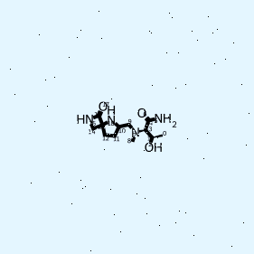 C[C@@H](O)[C@H](C(N)=O)N(C)CC1CCC2(CNC2=O)N1